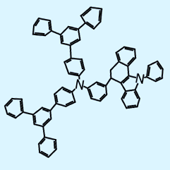 c1ccc(-c2cc(-c3ccccc3)cc(-c3ccc(N(c4ccc(-c5cc(-c6ccccc6)cc(-c6ccccc6)c5)cc4)c4cccc(C5Cc6ccccc6-c6c5c5ccccc5n6-c5ccccc5)c4)cc3)c2)cc1